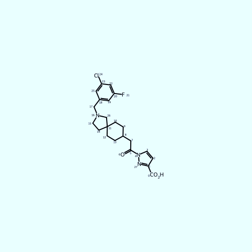 O=C(O)c1ccn(C(=O)CC2CCC3(CC2)CCN(Cc2cc(F)cc(Cl)c2)C3)n1